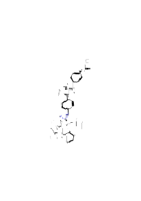 Cc1cccnc1N1C(=O)CSC1N/N=C/c1ccc(-c2ncn(-c3ccc(OC(F)(F)F)cc3)n2)cc1